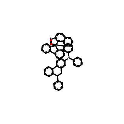 c1ccc(C2Cc3cc(N(c4ccccc4)c4cccc(-c5ccc6c(c5)C57c8ccccc8-c8cccc(c85)-c5cccc8ccc-6c7c58)c4)ccc3-c3ccccc32)cc1